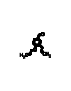 C=CCOc1ccc(C=O)cc1CC=C